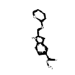 COC(=O)c1ccc2[nH]c(COC3CCCCO3)cc2c1